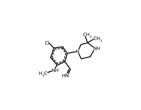 CNc1cc(Cl)cc(N2CCNC(C)(C)C2)c1C=N